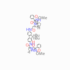 CCCCC1(CCCC)c2cc(NC(=O)C[C@@H]3C[C@H]4CCC[C@H]4N3C(=O)[C@H](NC(=O)OC)c3ccccc3)ccc2-c2ccc(NC(=O)[C@@H]3CC4(CC4)CN3C(O)[C@H](NC(=O)OC)c3ccccc3)cc21